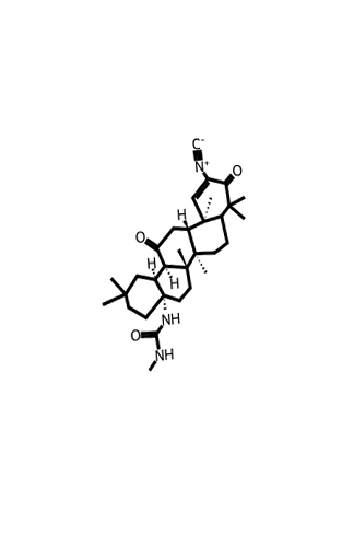 [C-]#[N+]C1=C[C@@]2(C)C(CC[C@]3(C)[C@@H]2CC(=O)[C@@H]2[C@@H]4CC(C)(C)CC[C@]4(NC(=O)NC)CC[C@]23C)C(C)(C)C1=O